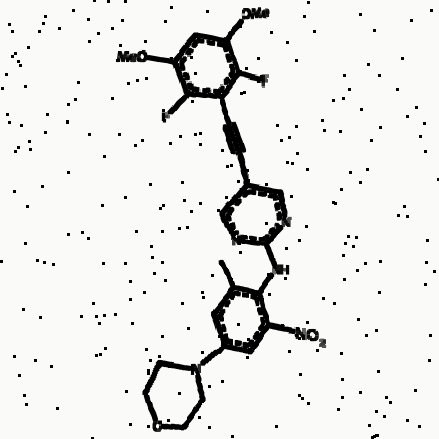 COc1cc(OC)c(F)c(C#Cc2cnc(Nc3c(C)cc(N4CCOCC4)cc3[N+](=O)[O-])nc2)c1F